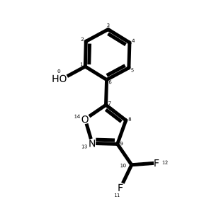 Oc1ccccc1-c1cc(C(F)F)no1